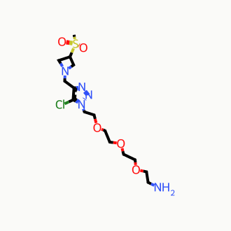 CS(=O)(=O)C1CN(Cc2nnn(CCOCCOCCOCCN)c2Cl)C1